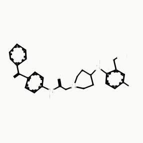 O=C(CN1CCC(Nc2ccc(Cl)cc2CO)CC1)Nc1ccc(C(=O)c2ccccc2)cc1